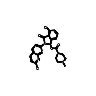 CN1CCN(C(=O)OC2c3cccc(Cl)c3C(=O)N2c2ccc3ccc(Cl)nc3n2)CC1